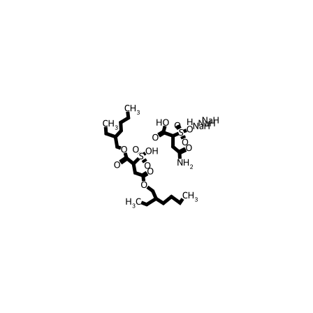 CCCCC(CC)COC(=O)CC(C(=O)OCC(CC)CCCC)S(=O)(=O)O.NC(=O)CC(C(=O)O)S(=O)(=O)O.[NaH].[NaH].[NaH]